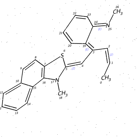 C\C=C/C(/C=C1\Sc2ccc3ccccc3c2N1C)=C1/C=CC=C/C1=N\C